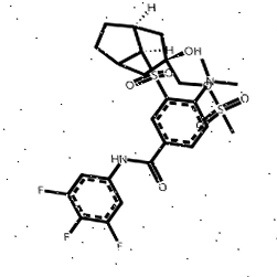 CN(C)c1ccc(C(=O)Nc2cc(F)c(F)c(F)c2)cc1S(=O)(=O)[C@H]1C2CC[C@H]1C[C@](O)(COS(C)(=O)=O)C2